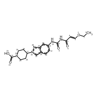 CCOC=CC(=O)NC(=O)Nc1ccc2cn(C3CCN(C(=O)O)CC3)nc2c1